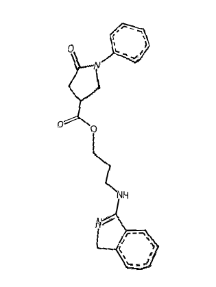 O=C(OCCCNC1=NCc2ccccc21)C1CC(=O)N(c2ccccc2)C1